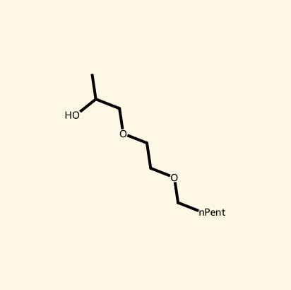 CCCCCCOCCOCC(C)O